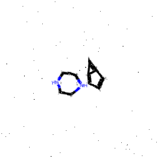 C1CNCCN1.c1cc2cc-2c1